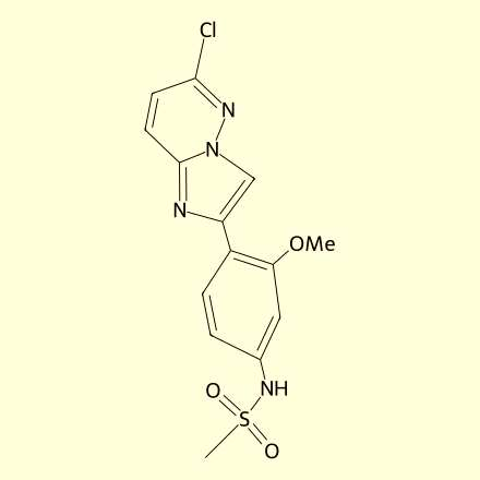 COc1cc(NS(C)(=O)=O)ccc1-c1cn2nc(Cl)ccc2n1